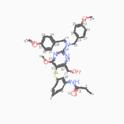 CCC(=O)Nc1cccc(Sc2c(CO)nc(N(Cc3ccc(OC)cc3)Cc3ccc(OC)cc3)nc2OC)c1